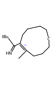 C/C1=C(\C(=N)C(C)(C)C)CCCCCCCC1